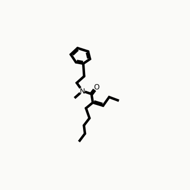 CC/C=C(/CCCCC)C(=O)N(C)CCc1ccccc1